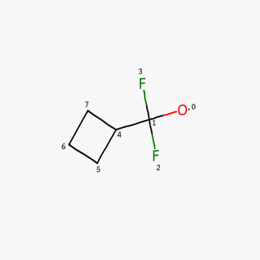 [O]C(F)(F)C1CCC1